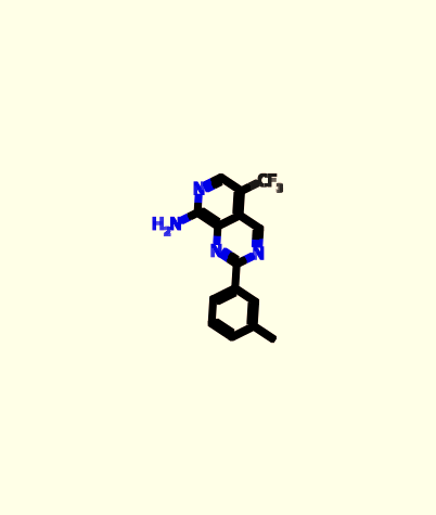 Cc1cccc(-c2ncc3c(C(F)(F)F)cnc(N)c3n2)c1